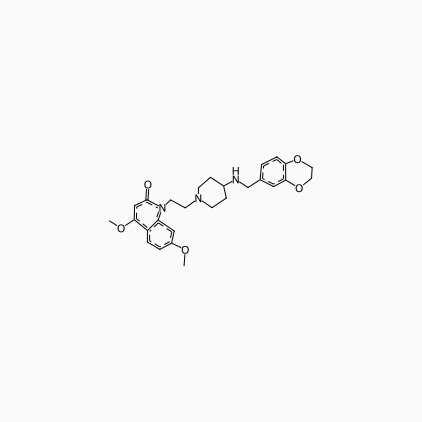 COc1ccc2c(OC)cc(=O)n(CCN3CCC(NCc4ccc5c(c4)OCCO5)CC3)c2c1